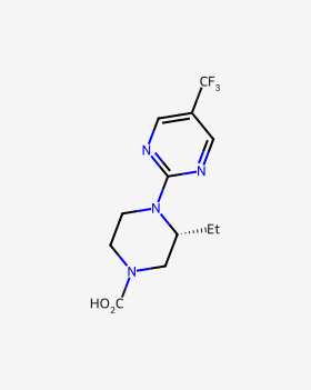 CC[C@@H]1CN(C(=O)O)CCN1c1ncc(C(F)(F)F)cn1